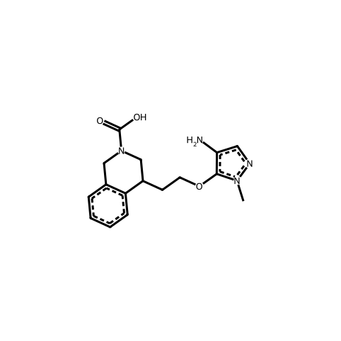 Cn1ncc(N)c1OCCC1CN(C(=O)O)Cc2ccccc21